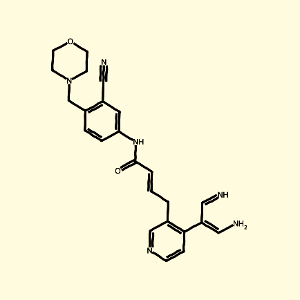 N#Cc1cc(NC(=O)/C=C/Cc2cnccc2/C(C=N)=C/N)ccc1CN1CCOCC1